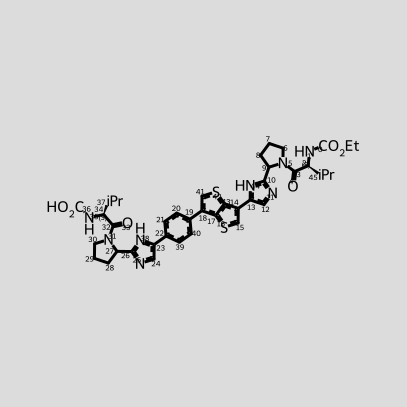 CCOC(=O)N[C@H](C(=O)N1CCCC1c1ncc(-c2csc3c(-c4ccc(-c5cnc(C6CCCN6C(=O)[C@@H](NC(=O)O)C(C)C)[nH]5)cc4)csc23)[nH]1)C(C)C